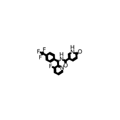 O=C(N[C@@H](c1ccc(C(F)(F)F)cc1)c1ncccc1F)c1ccc(=O)[nH]c1